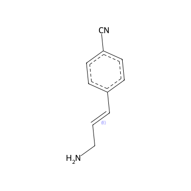 N#Cc1ccc(/C=C/CN)cc1